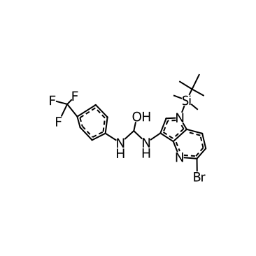 CC(C)(C)[Si](C)(C)n1cc(NC(O)Nc2ccc(C(F)(F)F)cc2)c2nc(Br)ccc21